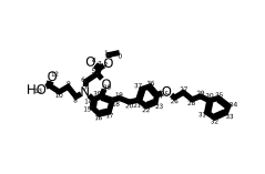 CCOC(=O)C1CN(CCCC(=O)O)c2cccc(CCc3ccc(OCCCCc4ccccc4)cc3)c2O1